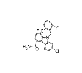 NC(=O)c1cccc2c1c1[c]cc(Cl)cc1n2Cc1c(F)cccc1C(F)(F)F